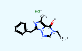 Cc1nc(Cc2ccccc2)n2ncn(CC(=O)O)c(=O)c12.Cl